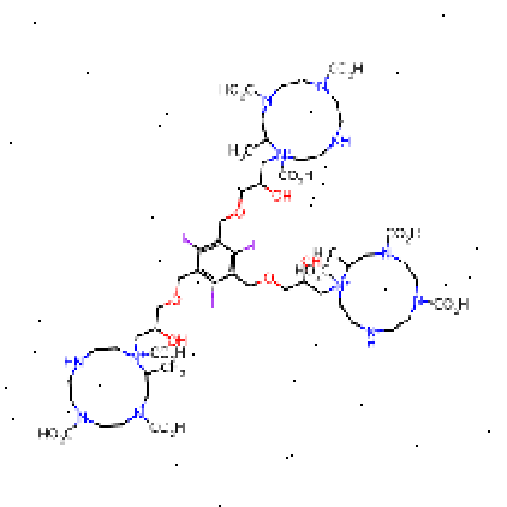 CC1CN(C(=O)O)CCN(C(=O)O)CCNCC[N+]1(CC(O)COCc1c(I)c(COCC(O)C[N+]2(C(=O)O)CCNCCN(C(=O)O)CCN(C(=O)O)CC2C)c(I)c(COCC(O)C[N+]2(C(=O)O)CCNCCN(C(=O)O)CCN(C(=O)O)CC2C)c1I)C(=O)O